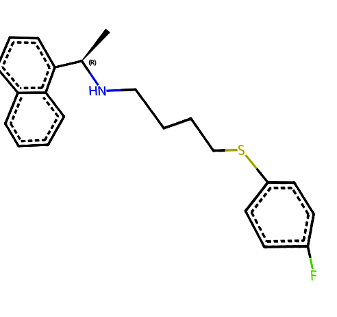 C[C@@H](NCCCCSc1ccc(F)cc1)c1cccc2ccccc12